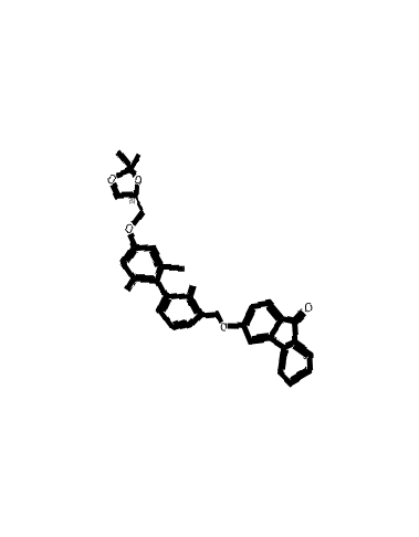 Cc1cc(OC[C@H]2COC(C)(C)O2)cc(C)c1-c1cccc(COc2ccc3c(c2)-c2ccccc2C3=O)c1C